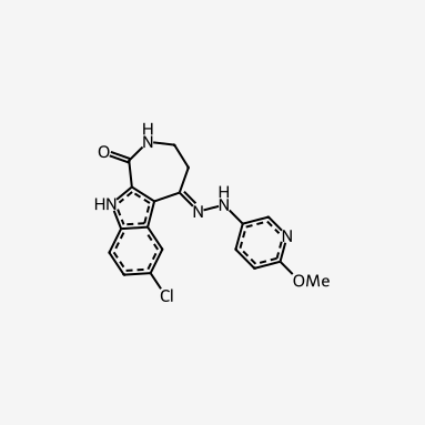 COc1ccc(N/N=C2\CCNC(=O)c3[nH]c4ccc(Cl)cc4c32)cn1